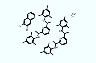 Cc1cc(C)c(NC(C)c2cccc(C(C)Nc3c(C)cc(C)cc3C)n2)c(C)c1.Cc1cc(C)c(NC(C)c2cccc(C(C)Nc3c(C)cc(C)cc3C)n2)c(C)c1.[Co+].[Co+].[O-]c1cc2ccccc2cc1[O-]